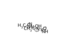 CC(C)c1ccnc(N2CCC3(CCCN(Cc4c[nH]c5ccccc45)C3O)CC2)n1